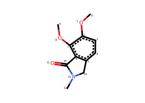 COc1ccc2c(c1OC)C(=O)N(C)C2